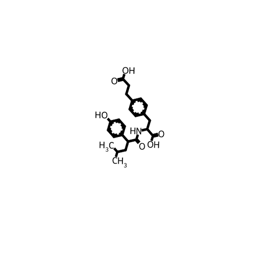 CC(C)CC(C(=O)NC(Cc1ccc(CCC(=O)O)cc1)C(=O)O)c1ccc(O)cc1